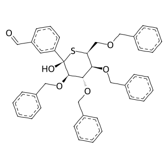 O=Cc1cccc([C@]2(O)S[C@@H](COCc3ccccc3)[C@@H](OCc3ccccc3)[C@H](OCc3ccccc3)[C@H]2OCc2ccccc2)c1